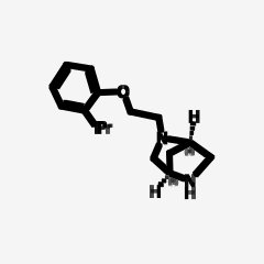 CC(C)c1ccccc1OCCN1C[C@H]2C[C@@H]1CN2